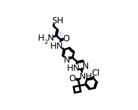 N/C(=C\CS)C(=O)Nc1ccc(-c2cnc(NC(=O)C3(c4cccc(Cl)c4)CCC3)[nH]2)nc1